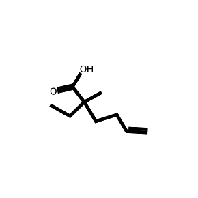 C=CCCC(C)(CC)C(=O)O